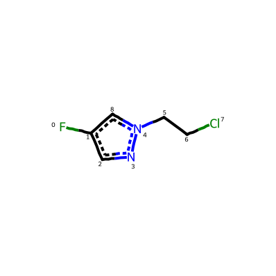 Fc1cnn(CCCl)c1